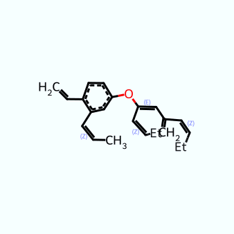 C=Cc1ccc(OC(/C=C\CC)=C/C(=C)/C=C\CC)cc1/C=C\C